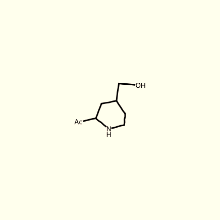 CC(=O)C1CC(CO)CCN1